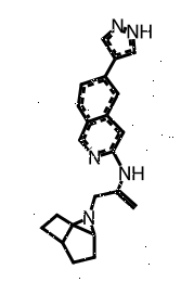 C=C(CN1C2CCC3CCC321)Nc1cc2cc(-c3cn[nH]c3)ccc2cn1